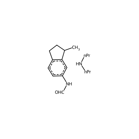 CC1CCc2ccc(NC=O)cc21.CCCNCCC